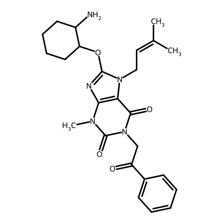 CC(C)=CCn1c(OC2CCCCC2N)nc2c1c(=O)n(CC(=O)c1ccccc1)c(=O)n2C